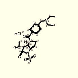 CCN(CC)Cc1ccc(C(=O)N2CC=C3[C@H]2[C@@H](C(C)C)C(=O)N3S(C)(=O)=O)cc1.Cl